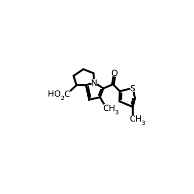 Cc1csc(C(=O)c2c(C)cc3n2CCCC3C(=O)O)c1